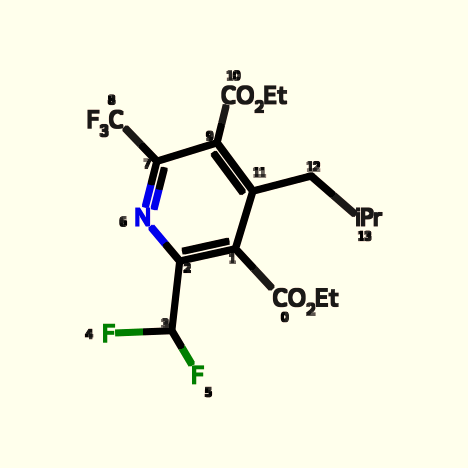 CCOC(=O)c1c(C(F)F)nc(C(F)(F)F)c(C(=O)OCC)c1CC(C)C